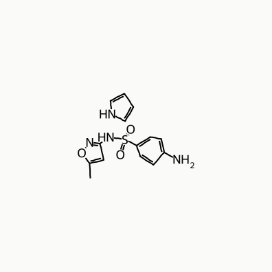 Cc1cc(NS(=O)(=O)c2ccc(N)cc2)no1.c1cc[nH]c1